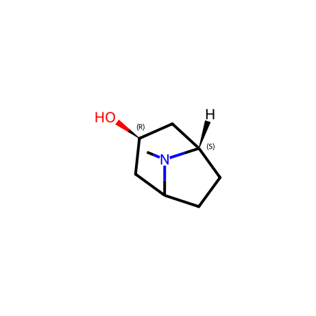 CN1C2CC[C@H]1C[C@H](O)C2